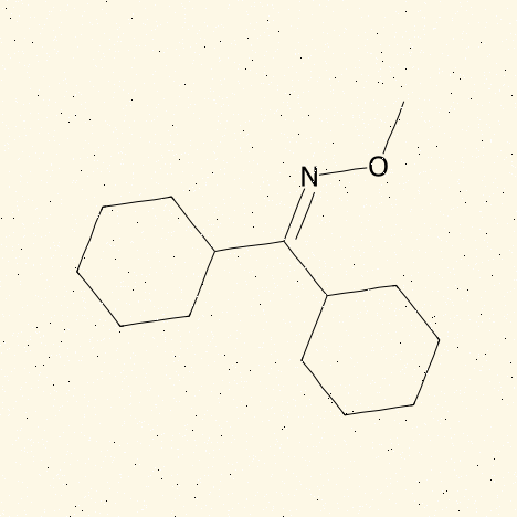 CON=C(C1CCCCC1)C1CCCCC1